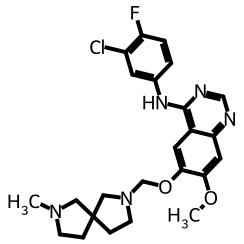 COc1cc2ncnc(Nc3ccc(F)c(Cl)c3)c2cc1OCN1CCC2(CCN(C)C2)C1